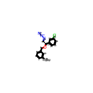 CC(C)(C)c1cccc(CO[C@@H](CN=[N+]=[N-])c2cccc(Cl)c2)c1